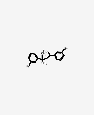 CC(C)c1cccc(C(C)CC(C)(C)c2cccc(C(C)C)c2)c1